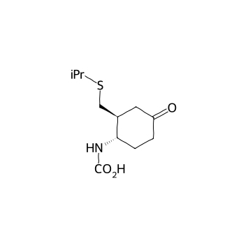 CC(C)SC[C@H]1CC(=O)CC[C@@H]1NC(=O)O